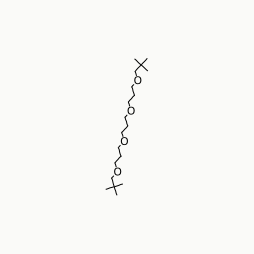 CC(C)(C)COCCCOCCCOCCCOCC(C)(C)C